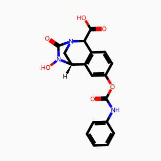 O=C(Nc1ccccc1)Oc1ccc2c(c1)[C@H]1CN(C(=O)N1O)C2C(=O)O